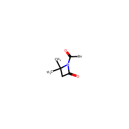 CCC(C)C(=O)N1C(=O)CC1(C)C